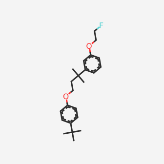 CC(C)(C)c1ccc(OCCC(C)(C)c2cccc(OCCF)c2)cc1